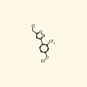 CCOc1ccc(-c2cc(CCl)on2)c(C(F)(F)F)c1